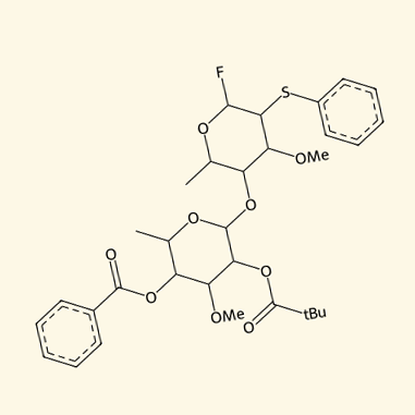 COC1C(OC(=O)c2ccccc2)C(C)OC(OC2C(C)OC(F)C(Sc3ccccc3)C2OC)C1OC(=O)C(C)(C)C